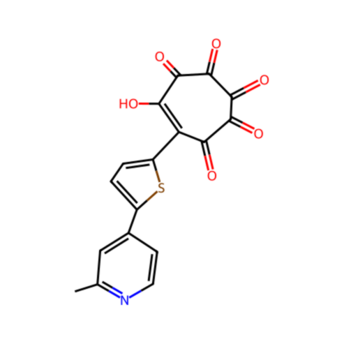 Cc1cc(-c2ccc(-c3c(O)c(=O)c(=O)c(=O)c(=O)c3=O)s2)ccn1